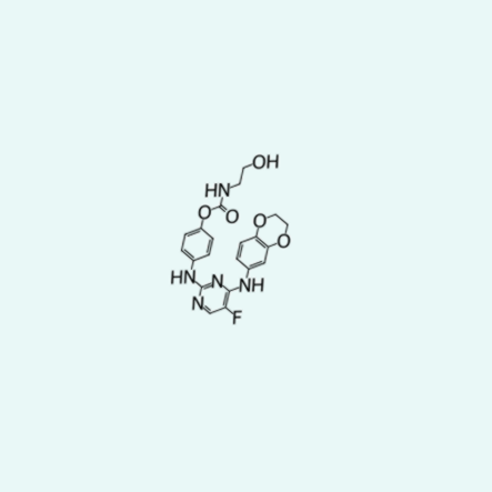 O=C(NCCO)Oc1ccc(Nc2ncc(F)c(Nc3ccc4c(c3)OCCO4)n2)cc1